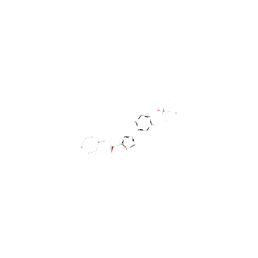 O=C(NC1C[CH]CCC1)c1cc(-c2ccc(OC(F)(F)F)cc2)cs1